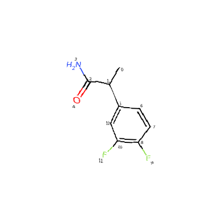 C[C](C(N)=O)c1ccc(F)c(F)c1